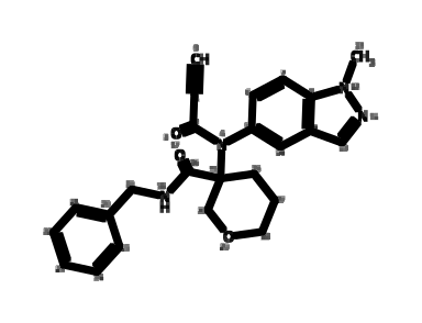 C#CC(=O)N(c1ccc2c(cnn2C)c1)C1(C(=O)NCc2ccccc2)CCCOC1